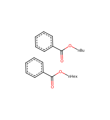 CCCCCCOC(=O)c1ccccc1.CCCCOC(=O)c1ccccc1